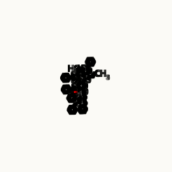 CCCCOCC1O[C@@H](OCCN(Cc2ccccc2)C(=O)OCc2ccccc2)[C@@H](OC(=O)c2ccccc2)C(OC(=O)c2ccccc2)[C@@H]1O[C@@H]1OC2COC(c3ccccc3)O[C@H]2C(O)[C@@H]1OC(=O)c1ccccc1